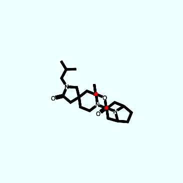 CCOC(=O)N1C2CCC1CC(N1CCC3(CC1)CC(=O)N(CC(C)C)C3)C2